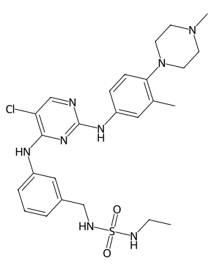 CCNS(=O)(=O)NCc1cccc(Nc2nc(Nc3ccc(N4CCN(C)CC4)c(C)c3)ncc2Cl)c1